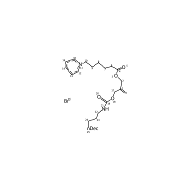 C=C(COC(=O)CCCCC[n+]1ccccc1)COC(=O)NCCCCCCCCCCCCC.[Br-]